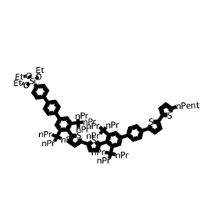 CCCCCc1ccc(-c2ccc(-c3ccc(-c4cc(C(CCC)(CCC)CCC)c(-c5ccc(-c6ccc(-c7c(C(CCC)(CCC)CCC)cc(-c8ccc(-c9ccc([Si](OCC)(OCC)OCC)cc9)cc8)cc7C(CCC)(CCC)CCC)s6)s5)c(C(CCC)(CCC)CCC)c4)cc3)s2)s1